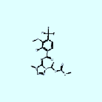 COC(=O)OC(C)n1nnn(C)/c1=N/C(=O)c1ccc(C(F)(F)F)c(SC)c1Cl